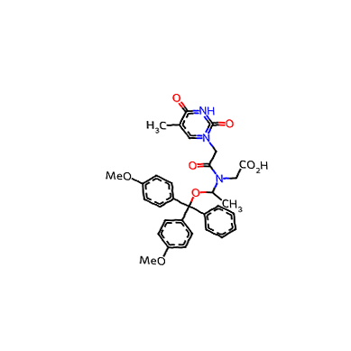 COc1ccc(C(OC(C)N(CC(=O)O)C(=O)Cn2cc(C)c(=O)[nH]c2=O)(c2ccccc2)c2ccc(OC)cc2)cc1